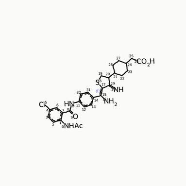 CC(=O)Nc1ccc(Cl)cc1C(=O)Nc1ccc(/C(N)=C2\SCC(C3CCC(CC(=O)O)CC3)C2=N)cc1